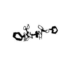 COC(=O)c1nc(C(C)(C)NC(=O)OCc2ccccc2)nc(O)c1OC(=O)c1ccccc1